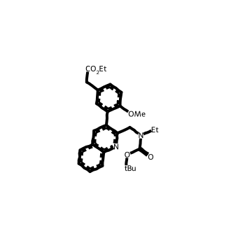 CCOC(=O)Cc1ccc(OC)c(-c2cc3ccccc3nc2CN(CC)C(=O)OC(C)(C)C)c1